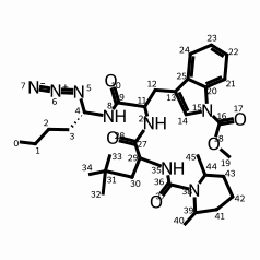 CCCC[C@H](N=[N+]=[N-])NC(=O)C(Cc1cn(C(=O)OC)c2ccccc12)NC(=O)C(CC(C)(C)C)NC(=O)N1C(C)CCCC1C